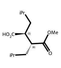 COC(=O)[C@H](CC(C)C)[C@H](CC(C)C)C(=O)O